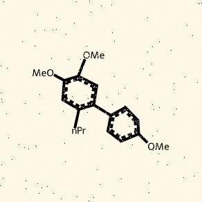 CCCc1cc(OC)c(OC)cc1-c1ccc(OC)cc1